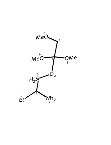 CCC(N)[SiH2]OC(COC)(OC)OC